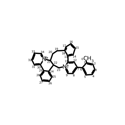 Cc1ccccc1-c1cc[n+]2c(c1)-c1ccccc1CCC1C(C2)c2ccccc2-c2cccc[n+]21